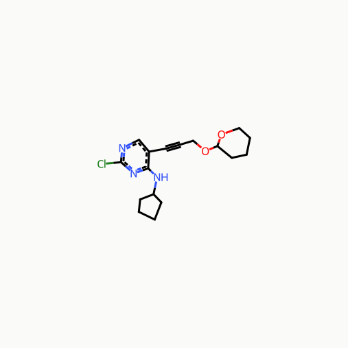 Clc1ncc(C#CCOC2CCCCO2)c(NC2CCCC2)n1